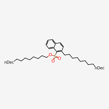 CCCCCCCCCCCCCCCCCCOS(=O)(=O)c1c(CCCCCCCCCCCCCCCCCC)ccc2ccccc12